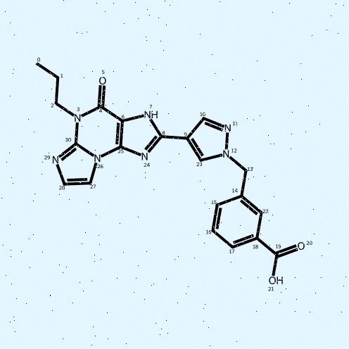 CCCn1c(=O)c2[nH]c(-c3cnn(Cc4cccc(C(=O)O)c4)c3)nc2n2ccnc12